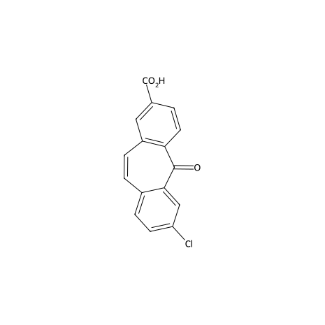 O=C(O)c1ccc2c(=O)c3cc(Cl)ccc3ccc2c1